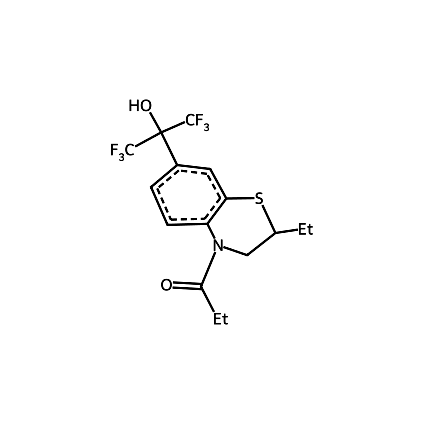 CCC(=O)N1CC(CC)Sc2cc(C(O)(C(F)(F)F)C(F)(F)F)ccc21